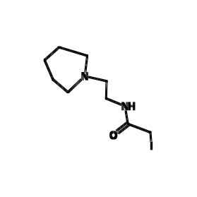 O=C(CI)NCCN1CCCCC1